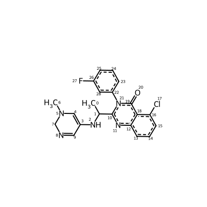 CC(NC1=CN(C)CN=C1)c1nc2cccc(Cl)c2c(=O)n1-c1cccc(F)c1